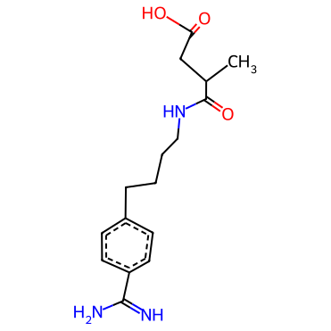 CC(CC(=O)O)C(=O)NCCCCc1ccc(C(=N)N)cc1